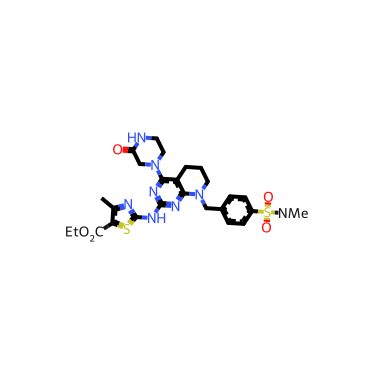 CCOC(=O)c1sc(Nc2nc(N3CCNC(=O)C3)c3c(n2)N(Cc2ccc(S(=O)(=O)NC)cc2)CCC3)nc1C